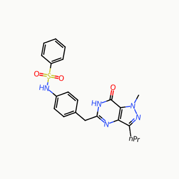 CCCc1nn(C)c2c(=O)[nH]c(Cc3ccc(NS(=O)(=O)c4ccccc4)cc3)nc12